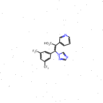 O=C(O)/C(=C(\c1cc(C(F)(F)F)cc(C(F)(F)F)c1)n1cncn1)c1cccnc1